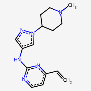 C=Cc1ccnc(Nc2cnn(C3CCN(C)CC3)c2)n1